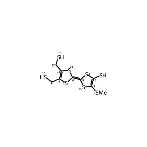 CSC1=C(S)SC(=C2SC(CS)=C(CS)S2)S1